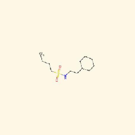 O=S(=O)(CCCC(F)(F)F)NCCC1CCCCC1